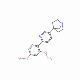 COc1ccc(-c2ccc(C34CCN(CC3)C4)cn2)c(OC)c1